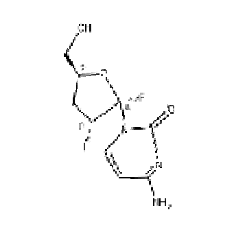 Nc1ccn([C@]2(F)O[C@H](CO)C[C@H]2F)c(=O)n1